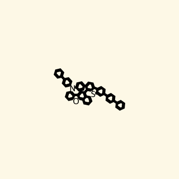 c1ccc(-c2ccc(-c3ccc4c(c3)sc3c(-c5cc6c(oc7cccc(N(c8ccccc8)c8ccc(-c9ccccc9)cc8)c76)c6ccccc56)cccc34)cc2)cc1